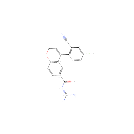 N#Cc1cc(F)ccc1C1=CCOc2ccc(C(=O)N=C(N)N)cc21